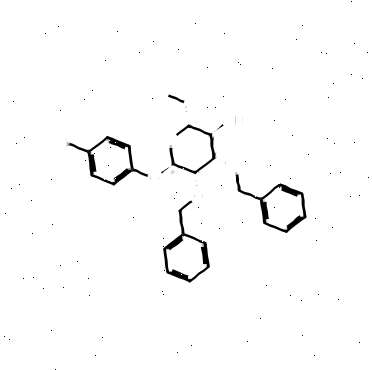 C[C@H]1[C@H](OCc2ccccc2)[C@H](OCc2ccccc2)[C@@H](Oc2ccc(I)cc2)O[C@@H]1CF